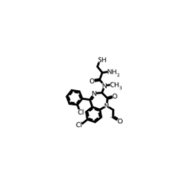 CN(C(=O)C(N)CS)C1N=C(c2ccccc2Cl)c2cc(Cl)ccc2N(C[C]=O)C1=O